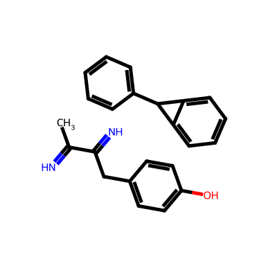 CC(=N)C(=N)Cc1ccc(O)cc1.c1ccc(C2c3ccccc32)cc1